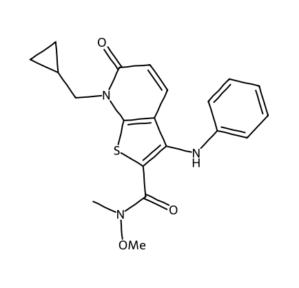 CON(C)C(=O)c1sc2c(ccc(=O)n2CC2CC2)c1Nc1ccccc1